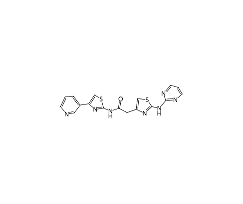 O=C(Cc1csc(Nc2ncccn2)n1)Nc1nc(-c2cccnc2)cs1